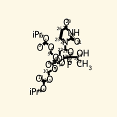 CC(C)OC(=O)OCOP(=O)(OCOC(=O)OC(C)C)OC[C@@](F)(O[C@H](CO)n1ccc(=O)[nH]c1=O)[C@H](C)O